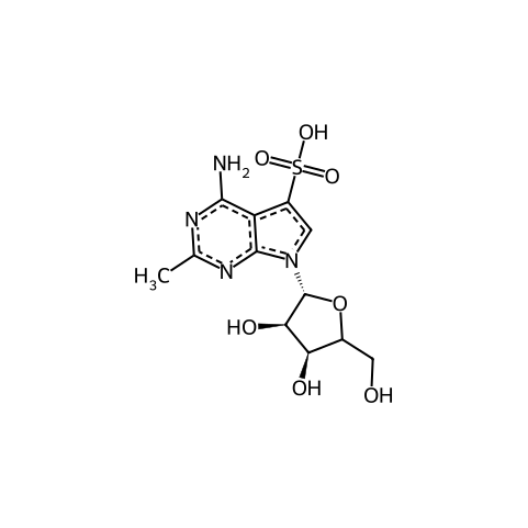 Cc1nc(N)c2c(S(=O)(=O)O)cn([C@@H]3OC(CO)[C@@H](O)[C@H]3O)c2n1